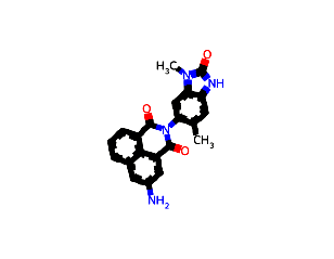 Cc1cc2[nH]c(=O)n(C)c2cc1N1C(=O)c2cccc3cc(N)cc(c23)C1=O